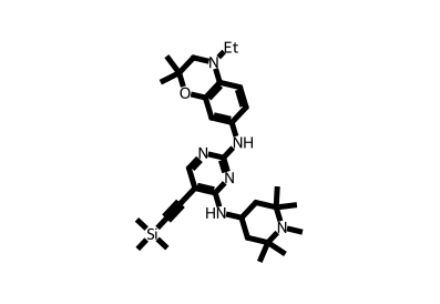 CCN1CC(C)(C)Oc2cc(Nc3ncc(C#C[Si](C)(C)C)c(NC4CC(C)(C)N(C)C(C)(C)C4)n3)ccc21